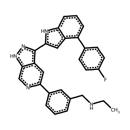 CCNCc1cccc(-c2cc3c(-c4cc5c(-c6ccc(F)cc6)cccc5[nH]4)n[nH]c3cn2)c1